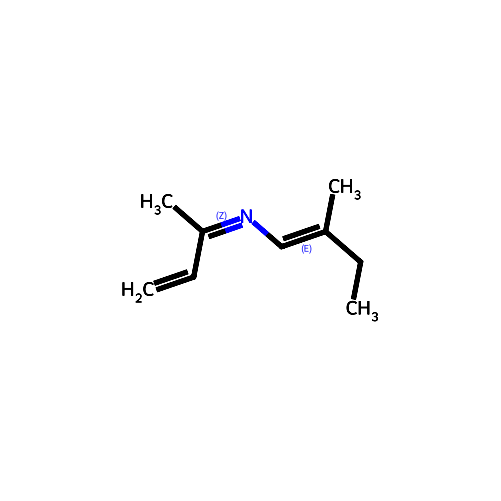 C=C/C(C)=N\C=C(/C)CC